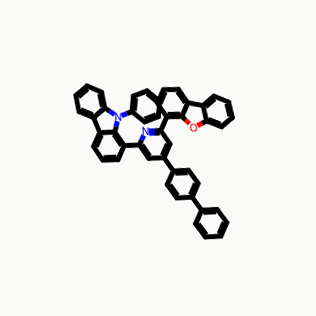 c1ccc(-c2ccc(-c3cc(-c4cccc5c4oc4ccccc45)nc(-c4cccc5c6ccccc6n(-c6ccccc6)c45)c3)cc2)cc1